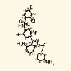 CC(C)n1nc(-c2cc(F)c(NS(=O)(=O)c3ccc(F)cc3Cl)cc2F)c2c(N)ncc([C@H]3CC[C@H](N)CC3)c21